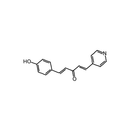 O=C(C=Cc1ccncc1)C=Cc1ccc(O)cc1